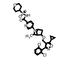 CC1C2CC(CC2OCc2c(-c3c(Cl)cccc3Cl)noc2C2CC2)N1c1ccc(C(=O)NS(=O)(=O)C2CCOCC2)nc1